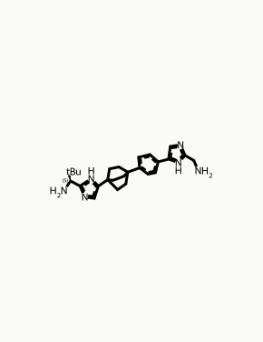 CC(C)(C)[C@H](N)c1ncc(C23CCC(c4ccc(-c5cnc(CN)[nH]5)cc4)(CC2)CC3)[nH]1